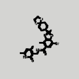 Cc1cc(C)c(CNC(=O)c2cc(Br)c3c(c2C)OC(C)(C2CCC4(CC2)OCCO4)O3)c(=O)[nH]1